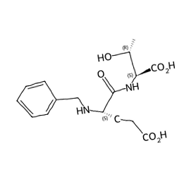 C[C@@H](O)[C@H](NC(=O)[C@H](CCC(=O)O)NCc1ccccc1)C(=O)O